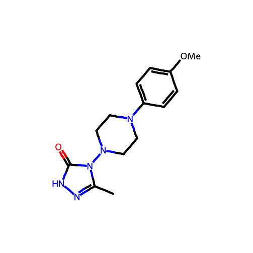 COc1ccc(N2CCN(n3c(C)n[nH]c3=O)CC2)cc1